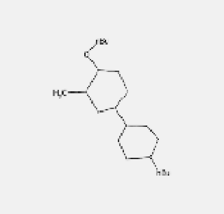 CCCCOC1CCC(C2CCC(CCCC)CC2)CC1C